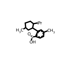 Cc1ccc(S(=O)O)c(C2CC(C)CCC2C(C)C)c1